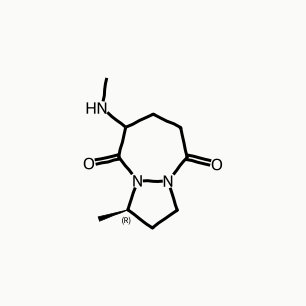 CNC1CCC(=O)N2CC[C@@H](C)N2C1=O